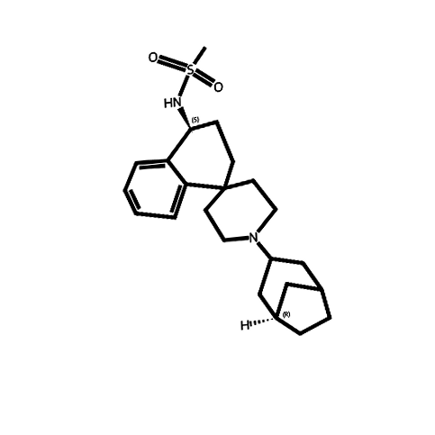 CS(=O)(=O)N[C@H]1CCC2(CCN(C3CC4CC[C@H](C4)C3)CC2)c2ccccc21